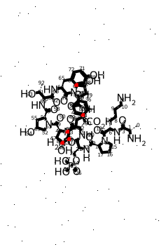 C[C@H](N)C(=O)N[C@@H](CCCCN)C(=O)N1CCC[C@H]1C(=O)N[C@@H](COP(=O)(O)O)C(=O)N[C@@H](Cc1ccc(O)cc1)C(=O)N1C[C@H](O)C[C@H]1C(=O)N1C[C@H](O)C[C@H]1C(=O)N[C@H](C(=O)N[C@@H](Cc1ccc(O)cc1)C(=O)N1C[C@H](O)C[C@H]1C(=O)N[C@@H](CCCCN)C(=O)O)[C@@H](C)O